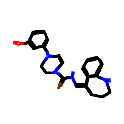 Oc1cccc(N2CCN(C(=S)N/C=C3/CCCNc4ccccc43)CC2)c1